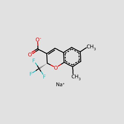 Cc1cc(C)c2c(c1)C=C(C(=O)[O-])[C@@H](C(F)(F)F)O2.[Na+]